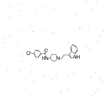 O=C(NC1CCN(CCc2c[nH]c3ccccc23)CC1)c1ccc(Cl)cc1